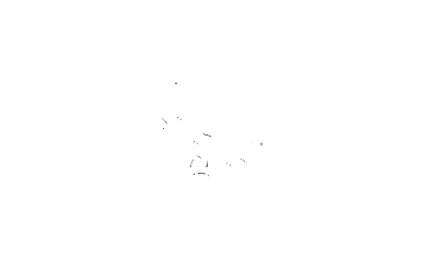 C[C@H]1Cn2ncc(N3CC(N(CCO)C(=O)Cl)CC3=O)c2CN1C(=O)OC(C)(C)C